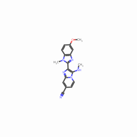 CNc1c(-c2nc3cc(OC)ccc3n2C)nc2cc(C#N)ccn12